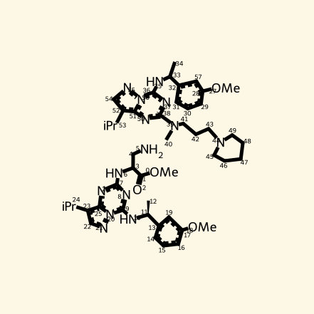 COC(=O)C(CN)Nc1nc(N[C@@H](C)c2cccc(OC)c2)n2ncc(C(C)C)c2n1.COc1cccc(C(C)Nc2nc(N(C)CCCN3CCCCC3)nc3c(C(C)C)cnn23)c1